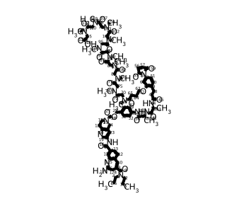 CCCN(CCC)C(=O)C1=Cc2ccc(C(=O)Nc3cnc4c(c3)CN(C(=O)OCc3ccc(NC(=O)[C@H](C)NC(=O)[C@H](C)NC(=O)CCc5ccc(N6C(=O)C=CC6=O)cc5OCCCC(=O)N(C)CC(=O)N(C)CC(=O)N(C)CC(=O)N(C)CC(=O)N(C)CC(=O)N(C)CC(=O)N(C)CC(=O)N(C)CC(=O)N(C)CC(=O)N(C)CC(=O)O)cc3)CC4)cc2N=C(N)C1